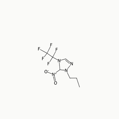 CCCN1N=CN(C(F)(F)C(F)(F)F)C1[N+](=O)[O-]